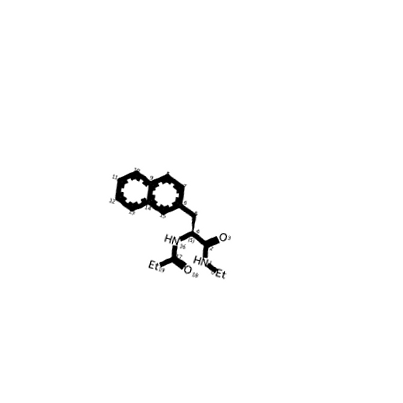 CCNC(=O)[C@H](Cc1ccc2ccccc2c1)NC(=O)CC